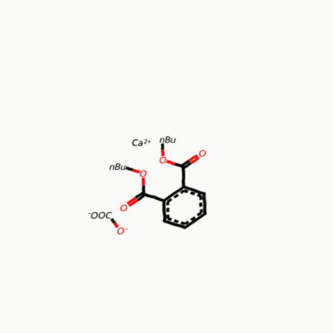 CCCCOC(=O)c1ccccc1C(=O)OCCCC.O=C([O-])[O-].[Ca+2]